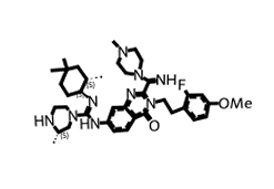 COc1ccc(CCn2c(C(=N)N3CCN(C)CC3)nc3cc(NC(=N[C@H]4CCC(C)(C)C[C@@H]4C)N4CCN[C@@H](C)C4)ccc3c2=O)c(F)c1